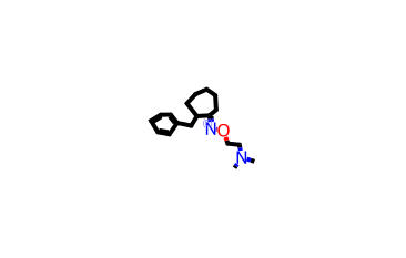 CN(C)CCO/N=C1\CCCCCC1Cc1ccccc1